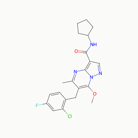 COc1c(Cc2ccc(F)cc2Cl)c(C)nc2c(C(=O)NC3CCCC3)cnn12